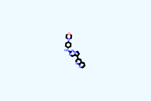 c1cnc2ncc(-c3ccn4nc(N[C@H]5CC[C@H](N6CCOCC6)CC5)ncc34)cc2c1